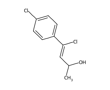 CC(O)C=C(Cl)c1ccc(Cl)cc1